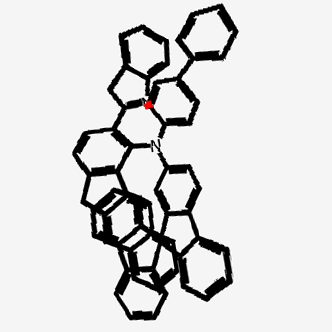 c1ccc(-c2ccc(N(c3ccc4c(c3)C3(c5ccccc5-c5ccccc53)c3ccccc3-4)c3c(C4=Nc5ccccc5C4)ccc4c3-c3cc5ccccc5cc3C4)cc2)cc1